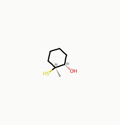 C[C@]1(S)CCCC[C@@H]1O